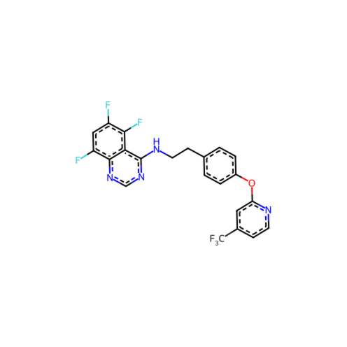 Fc1cc(F)c2ncnc(NCCc3ccc(Oc4cc(C(F)(F)F)ccn4)cc3)c2c1F